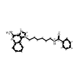 Nc1nc2ccccc2c2c1ncn2CCCCCCNC(=O)c1ccccc1